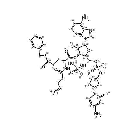 C=CCCC(=O)NC(CCC(=O)SCc1ccccc1)C(=O)O[C@H]1[C@@H](O)[C@H](n2cnc3c(N)ncnc32)O[C@@H]1COP(=O)(O)O[C@H]1C[C@H](n2ccc(N)nc2=O)O[C@@H]1COP(=O)(O)O